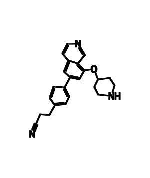 N#CCCc1ccc(-c2cc(OC3CCNCC3)c3cnccc3c2)cc1